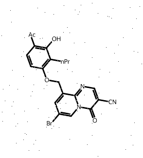 CCCc1c(OCc2cc(Br)cn3c(=O)c(C#N)cnc23)ccc(C(C)=O)c1O